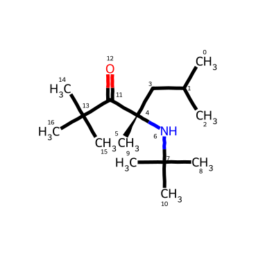 CC(C)C[C@](C)(NC(C)(C)C)C(=O)C(C)(C)C